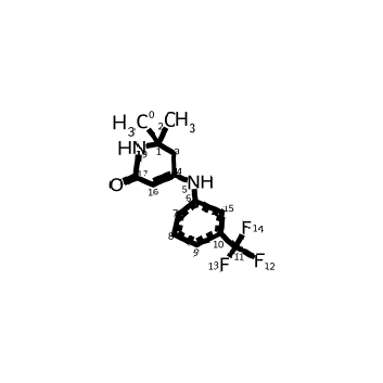 CC1(C)CC(Nc2cccc(C(F)(F)F)c2)=CC(=O)N1